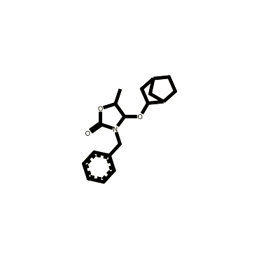 CC1OC(=O)N(Cc2ccccc2)C1OC1CC2CCC1C2